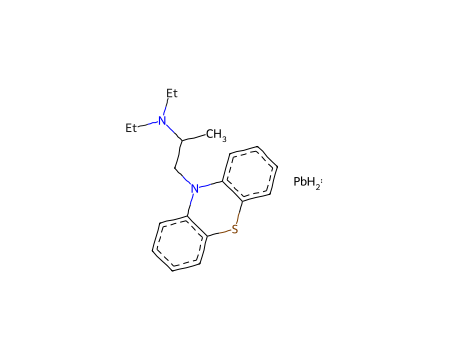 CCN(CC)C(C)CN1c2ccccc2Sc2ccccc21.[PbH2]